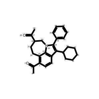 CC(=O)c1ccc2c(C3CCCCC3)c(-c3ccccc3)n3c2c1CCC(C(C)=O)C3